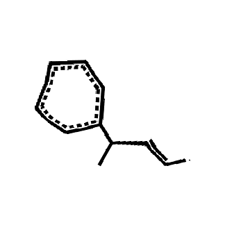 [CH2]C=CC(C)c1ccccc1